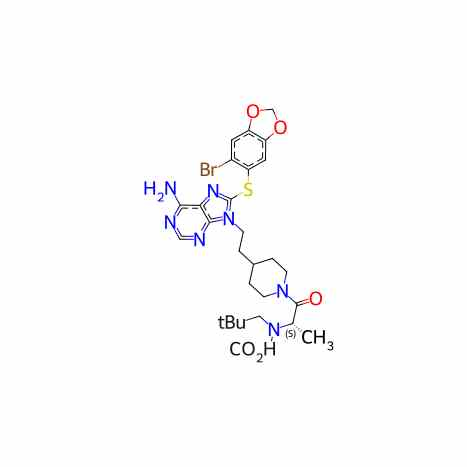 C[C@@H](C(=O)N1CCC(CCn2c(Sc3cc4c(cc3Br)OCO4)nc3c(N)ncnc32)CC1)N(CC(C)(C)C)C(=O)O